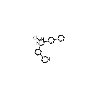 Clc1nc(-c2ccc(-c3ccccc3)cc2)cc(-c2cccc(-c3cccnc3)c2)n1